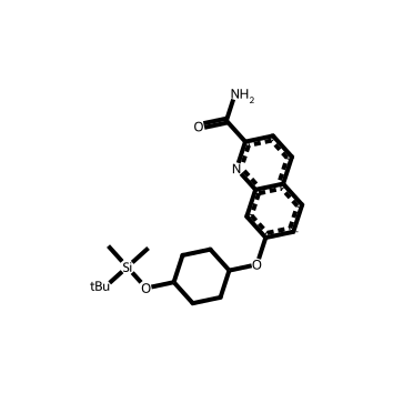 CC(C)(C)[Si](C)(C)OC1CCC(Oc2[c]cc3ccc(C(N)=O)nc3c2)CC1